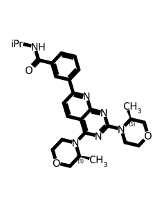 CC(C)NC(=O)c1cccc(-c2ccc3c(N4CCOC[C@@H]4C)nc(N4CCOC[C@@H]4C)nc3n2)c1